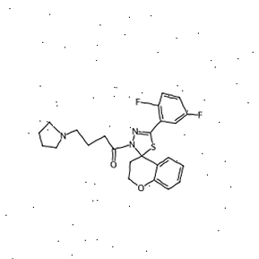 O=C(CCCN1CCCC1)N1N=C(c2cc(F)ccc2F)SC12CCOc1ccccc12